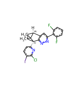 CC1(C)[C@H]2CC[C@]1(c1ccc(I)c(Cl)n1)c1nnc(-c3c(F)cccc3F)cc12